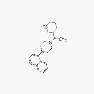 C=C(C1CCCNC1)N1CCN(c2ccnc3ccccc23)CC1